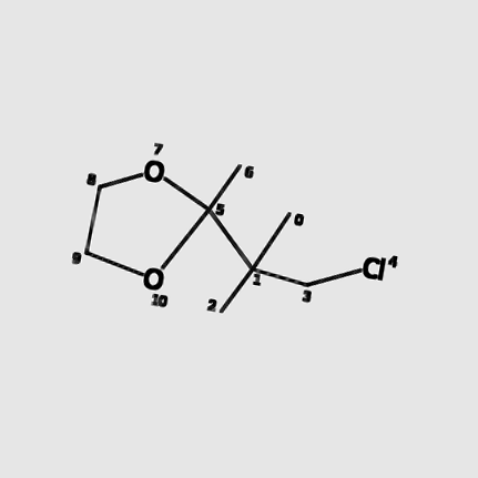 CC(C)(CCl)C1(C)OCCO1